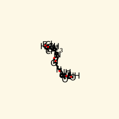 CC(Oc1cc(-c2cnn(C3CCN(C(=O)CCCCN4CC(Nc5cccc6c5CN(C5CCC(=O)NC5=O)C6=O)C4)CC3)c2)cnc1N)c1c(Cl)ccc(F)c1Cl